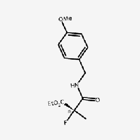 CCOC(=O)[C@@](C)(F)C(=O)NCc1ccc(OC)cc1